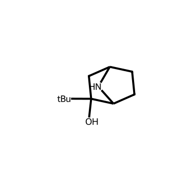 CC(C)(C)C1(O)CC2CCC1N2